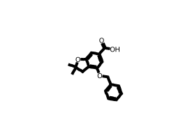 CC1(C)Cc2c(OCc3ccccc3)cc(C(=O)O)cc2O1